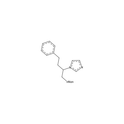 CCCCCCCCCCC(CCc1ccccc1)n1ccnc1